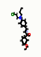 CCCN(CCCl)c1ccc(/C=C/C(=O)c2cccc(OC)c2)cc1